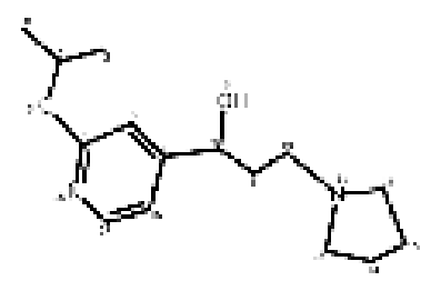 CC(C)Oc1cc(C(O)CCN2CCCC2)ccn1